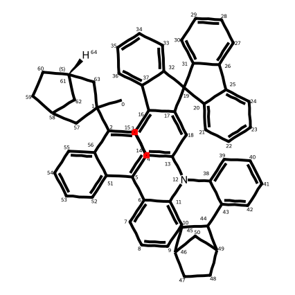 CC1(c2ccc(-c3ccccc3N(c3ccc4c(c3)C3(c5ccccc5-c5ccccc53)c3ccccc3-4)c3ccccc3C3CC4CCC3C4)c3ccccc23)CC2CC[C@@H](C2)C1